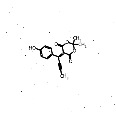 CC#CC(=C1C(=O)OC(C)(C)OC1=O)c1ccc(O)cc1